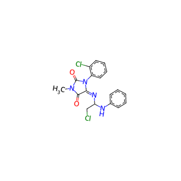 CN1C(=O)C(=NC(CCl)Nc2ccccc2)N(c2ccccc2Cl)C1=O